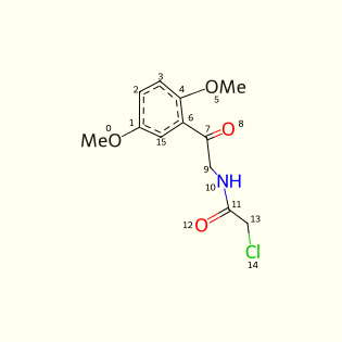 COc1ccc(OC)c(C(=O)CNC(=O)CCl)c1